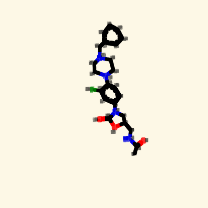 CC(=O)NCC1CN(c2ccc(N3CCN(Cc4ccccc4)CC3)c(F)c2)C(=O)O1